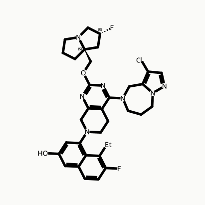 CCc1c(F)ccc2cc(O)cc(N3CCc4c(nc(OC[C@@]56CCCN5C[C@H](F)C6)nc4N4CCCn5ncc(Cl)c5C4)C3)c12